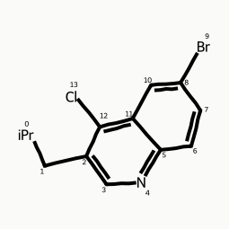 CC(C)Cc1cnc2ccc(Br)cc2c1Cl